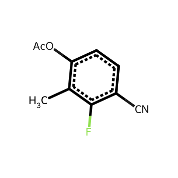 CC(=O)Oc1ccc(C#N)c(F)c1C